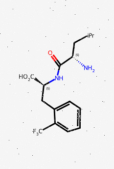 CC(C)C[C@H](N)C(=O)N[C@@H](Cc1ccccc1C(F)(F)F)C(=O)O